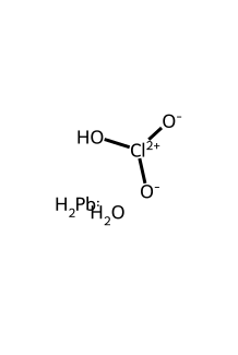 O.[O-][Cl+2]([O-])O.[PbH2]